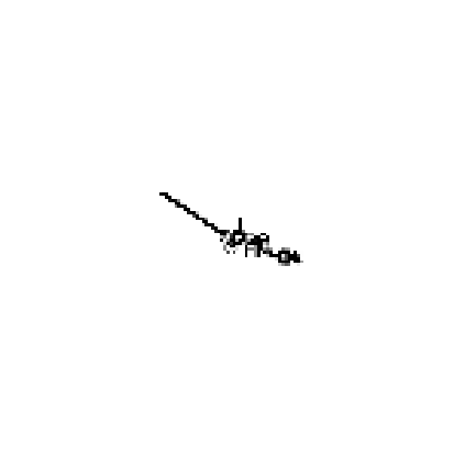 CCCCCCCCCCCCCCOc1ccc(OCC(=O)NCCc2cc[n+](CC)cc2)cc1OC.[I-]